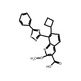 COc1nc2c(-c3nsc(-c4ccccc4)n3)c(C3CCC3)ccc2cc1C(=O)O